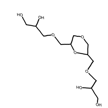 OCC(O)COCC1COCC(COCC(O)CO)O1